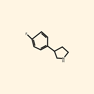 Fc1ccc([C]2CCNC2)cc1